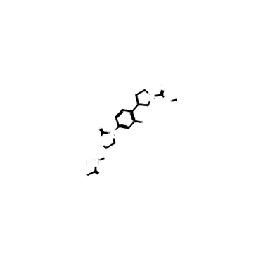 COC(=O)N1CCC(c2ccc(N3C[C@H](CNC(C)=O)OC3=O)cc2F)C1